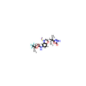 CC(C)(C[C@H]1CN(SI)c2cc(NC(=O)OC(C)(C)C(F)(F)F)ccc2O1)c1n[nH]c(=O)o1